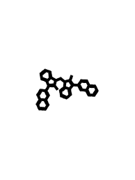 CC1=C(c2ccc3ccccc3c2)c2ccccc2C1CC1C(C)=C(c2ccc3ccccc3c2)c2ccccc21